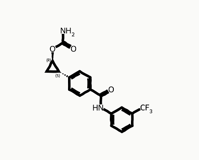 NC(=O)O[C@@H]1C[C@H]1c1ccc(C(=O)Nc2cccc(C(F)(F)F)c2)cc1